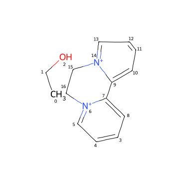 CCO.c1cc[n+]2c(c1)-c1cccc[n+]1CC2